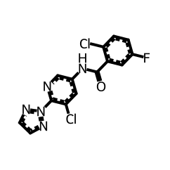 O=C(Nc1cnc(-n2nccn2)c(Cl)c1)c1cc(F)ccc1Cl